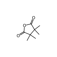 CC1(C)C(=O)OC(=O)C1(C)C